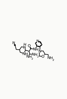 N#CCC1CNC(C(C(=O)Nc2cnccc2N2CCOC(CN)C2)C(N)N)NC1